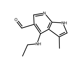 CCNc1c(C=O)cnc2[nH]cc(C)c12